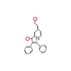 O=C/C=C1/C=CN2C(=C1)C(=O)C(c1ccccc1)=C2c1ccccc1